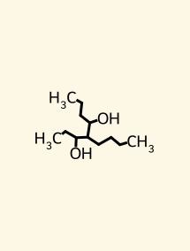 CCCCC(C(O)CC)C(O)CCC